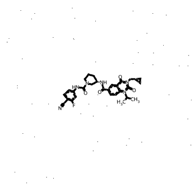 CC(C)n1c(=O)n(CC2CC2)c(=O)c2cc(C(=O)N[C@H]3CCCN(C(=O)Nc4ccc(C#N)c(F)c4)C3)ccc21